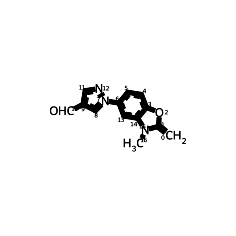 C=C1Oc2ccc(-n3cc(C=O)cn3)cc2N1C